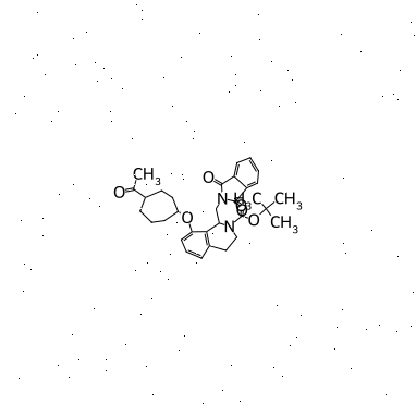 CC(=O)C1CCC[C@@H](Oc2cccc3c2C(CN2C(=O)c4ccccc4C2=O)N(C(=O)OC(C)(C)C)CC3)CC1